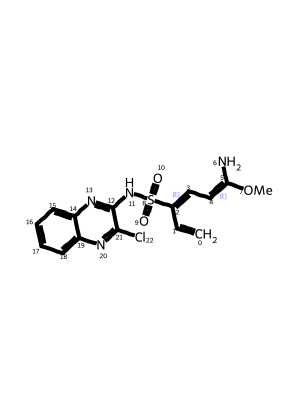 C=C/C(=C\C=C(/N)OC)S(=O)(=O)Nc1nc2ccccc2nc1Cl